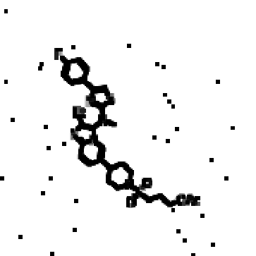 CCc1nc2ccc(C3CCN(S(=O)(=O)CCCOC(C)=O)CC3)cn2c1N(C)c1nc(-c2ccc(F)cc2)cs1